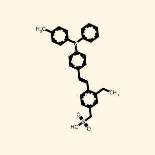 CCc1cc(CS(=O)(=O)O)ccc1C=Cc1ccc(N(c2ccccc2)c2ccc(C)cc2)cc1